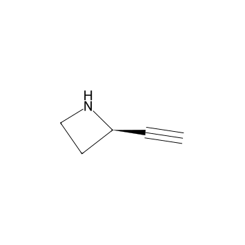 C#C[C@H]1CCN1